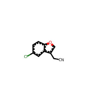 N#CCc1coc2ccc(Cl)cc12